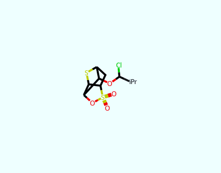 CC(C)C(Cl)OC1C2CC3C(S2)C1OS3(=O)=O